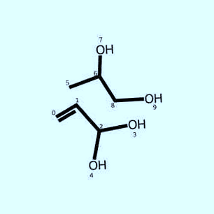 C=CC(O)O.CC(O)CO